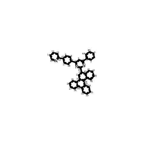 c1ccc(-c2cc(-c3ccc(-c4ccccn4)cc3)nc(-c3cc4c5ccccc5c5ccccc5c4c4ccccc34)n2)cc1